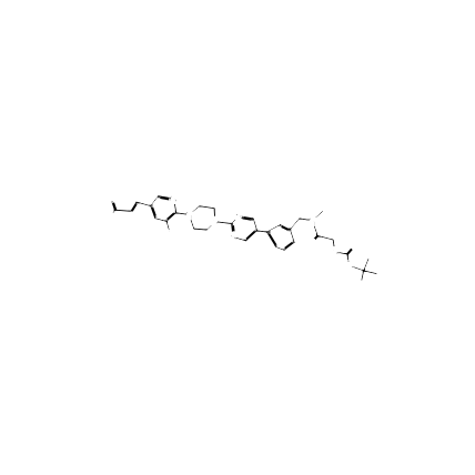 CN(Cc1cccc(-c2cnc(N3CCN(c4ncc(/C=C/C(=O)O)cc4Cl)CC3)nc2)c1)C(=O)CNC(=O)OC(C)(C)C